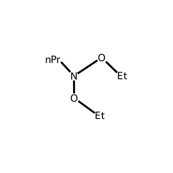 [CH2]CCN(OCC)OCC